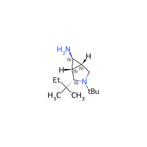 CCC(C)(C)[C@@H]1[C@@H]2[C@@H](N)[C@@H]2CN1C(C)(C)C